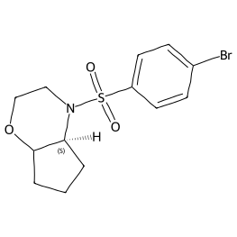 O=S(=O)(c1ccc(Br)cc1)N1CCOC2CCC[C@@H]21